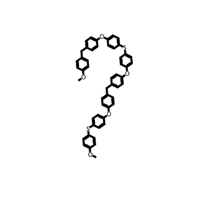 COc1ccc(Cc2ccc(Oc3ccc(Sc4ccc(Oc5ccc(Cc6ccc(Oc7ccc(Sc8ccc(OC)cc8)cc7)cc6)cc5)cc4)cc3)cc2)cc1